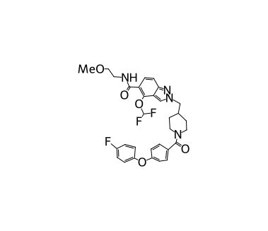 COCCNC(=O)c1ccc2nn(CC3CCN(C(=O)c4ccc(Oc5ccc(F)cc5)cc4)CC3)cc2c1OC(F)F